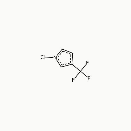 FC(F)(F)c1ccn(Cl)c1